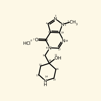 Cl.Cn1ncc2c(=O)n(CC3(O)CCNCC3)cnc21